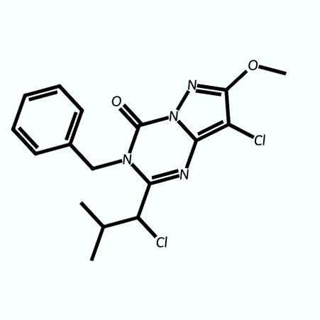 COc1nn2c(=O)n(Cc3ccccc3)c(C(Cl)C(C)C)nc2c1Cl